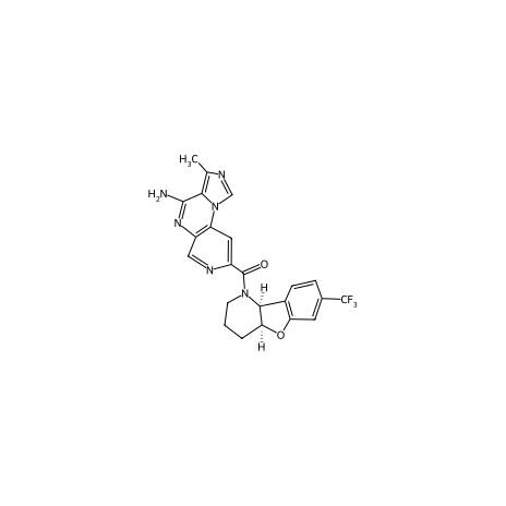 Cc1ncn2c1c(N)nc1cnc(C(=O)N3CCC[C@@H]4Oc5cc(C(F)(F)F)ccc5[C@@H]43)cc12